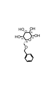 O[C@@H]1[C@@H](O)[C@@H](O)O[C@H](COCc2ccccc2)[C@H]1O